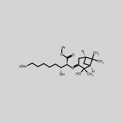 CCCCCCCCCCCCCCC[C@@H](O)[C@H](/N=C1\C[C@@H]2C[C@@H](C2(C)C)[C@]1(C)O)C(=O)OC(C)C